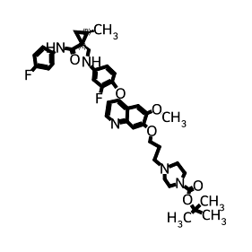 COc1cc2c(Oc3ccc(NC[C@@]4(C(=O)Nc5ccc(F)cc5)C[C@H]4C)cc3F)ccnc2cc1OCCCN1CCN(C(=O)OC(C)(C)C)CC1